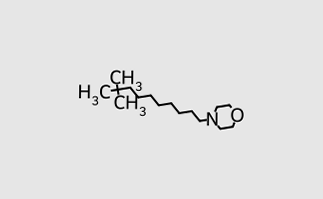 CC(C)(C)CCCCCCCCN1CCOCC1